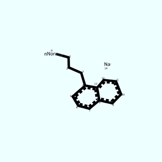 CCCCCCCCCCCCc1cccc2ccccc12.[Na]